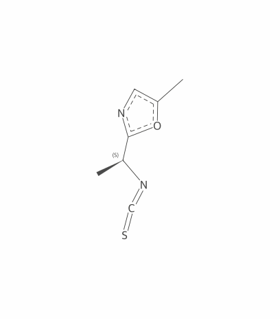 Cc1cnc([C@H](C)N=C=S)o1